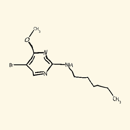 CCCCCNc1ncc(Br)c(OC)n1